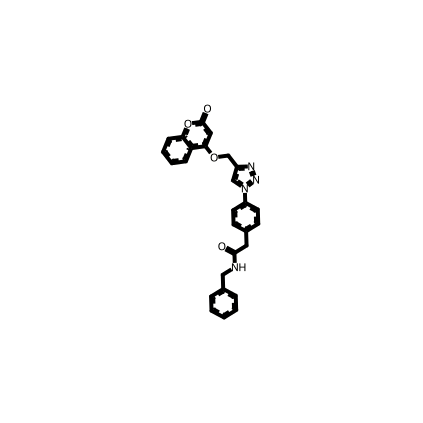 O=C(Cc1ccc(-n2cc(COc3cc(=O)oc4ccccc34)nn2)cc1)NCc1ccccc1